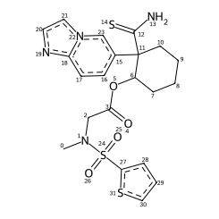 CN(CC(=O)OC1CCCCC1(C(N)=S)c1ccc2nccn2c1)S(=O)(=O)c1cccs1